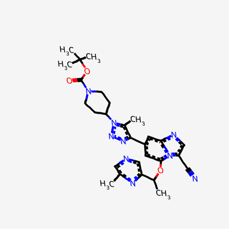 Cc1cncc(C(C)Oc2cc(-c3nnn(C4CCN(C(=O)OC(C)(C)C)CC4)c3C)cc3ncc(C#N)n23)n1